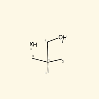 CC(C)(C)CO.[KH]